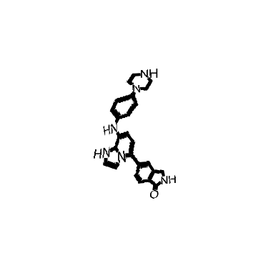 O=C1NCc2cc(C3=CC=C(Nc4ccc(N5CCNCC5)cc4)C4NC=CN34)ccc21